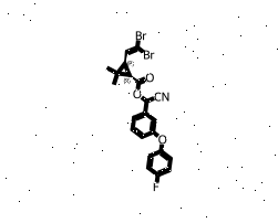 CC1(C)[C@H](C(=O)OC(C#N)c2cccc(Oc3ccc(F)cc3)c2)[C@@H]1C=C(Br)Br